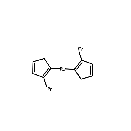 CC(C)C1=[C]([Ru][C]2=C(C(C)C)C=CC2)CC=C1